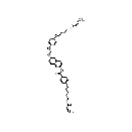 C=C=COOCCCCOc1ccc(OCOc2ccc3cc(OC(=O)c4ccc(OCCCCOC(=O)C=C)cc4)ccc3c2)cc1